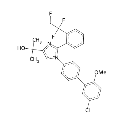 COc1ccc(Cl)cc1-c1ccc(-n2cc(C(C)(C)O)nc2-c2ccccc2C(F)(F)CF)cc1